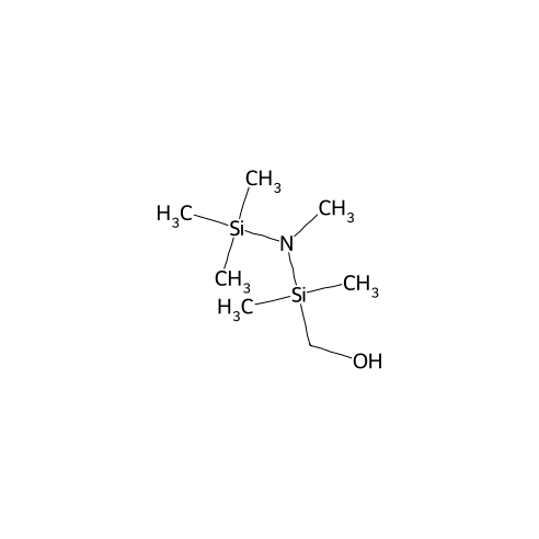 CN([Si](C)(C)C)[Si](C)(C)CO